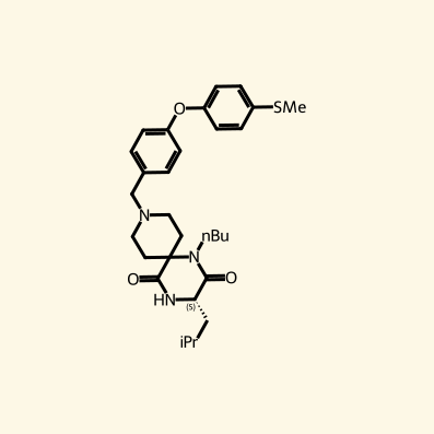 CCCCN1C(=O)[C@H](CC(C)C)NC(=O)C12CCN(Cc1ccc(Oc3ccc(SC)cc3)cc1)CC2